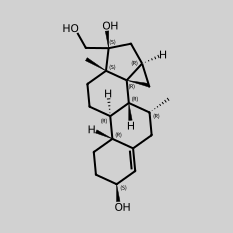 C[C@@H]1CC2=C[C@@H](O)CC[C@@H]2[C@H]2CC[C@]3(C)[C@](O)(CO)C[C@H]4C[C@]43[C@@H]21